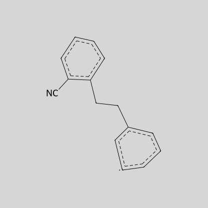 N#Cc1ccccc1CCc1c[c]ccc1